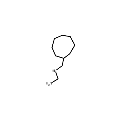 NCNCC1CCCCCCC1